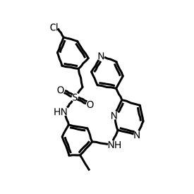 Cc1ccc(NS(=O)(=O)Cc2ccc(Cl)cc2)cc1Nc1nccc(-c2ccncc2)n1